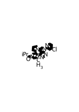 CC(C)C(=O)N1CCN(c2ncnc3c2c(N2CCCC2)cn3-c2cc(Cl)ccn2)[C@@H](C)C1